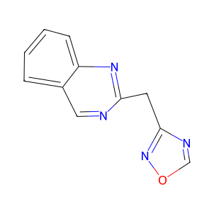 c1ccc2nc(Cc3ncon3)ncc2c1